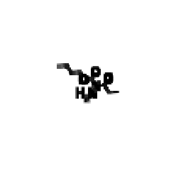 CCCCOC(=O)N(N)C(=O)CC